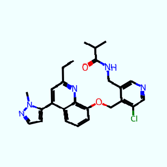 CCc1cc(-c2ccnn2C)c2cccc(OCc3c(Cl)cncc3CNC(=O)C(C)C)c2n1